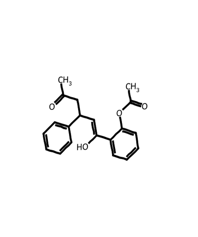 CC(=O)CC(/C=C(\O)c1ccccc1OC(C)=O)c1ccccc1